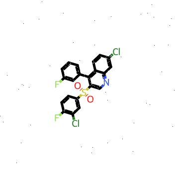 O=S(=O)(c1ccc(F)c(Cl)c1)c1cnc2cc(Cl)ccc2c1-c1cccc(F)c1